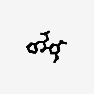 COc1cc(OC)cc(C(=O)[C@@H](Cc2ccccc2)CN(C)C)c1